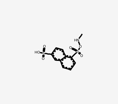 CNOS(=O)(=O)c1cccc2cc(S(=O)(=O)O)ccc12